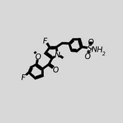 COc1cc(F)ccc1C(=O)c1cc(F)c(Cc2ccc(S(N)(=O)=O)cc2)n1C